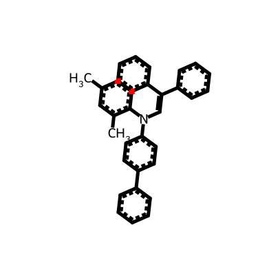 Cc1ccc(N(C=C(c2ccccc2)c2ccccc2)c2ccc(-c3ccccc3)cc2)c(C)c1